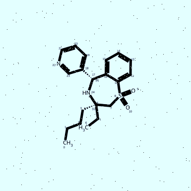 CCCC[C@@]1(CC)CS(=O)(=O)c2ccccc2[C@@H](c2cccnc2)N1